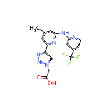 Cc1cc(Nc2cc(C(F)(F)F)ccn2)nc(-c2cn(CC(=O)O)nn2)c1